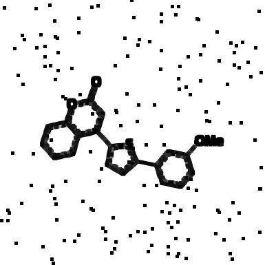 COc1cccc(-c2ccc(-c3cc(=O)oc4ccccc34)s2)c1